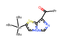 CCC[CH2][Sn]([CH2]CCC)([CH2]CCC)[c]1cn2cnc(C(=O)C(C)C)c2s1